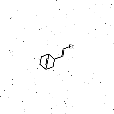 CCC=CC1CC2C=CC1CC2